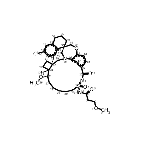 COCCC(=O)NS1(=O)=NC(=O)c2ccc3c(c2)N(C[C@@H]2CC[C@H]2[C@@H](OC)CCCCC1)C[C@@]1(CCCc2cc(Cl)ccc21)CO3